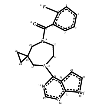 O=C(c1ccccc1F)N1CCN(c2ncnc3[nH]ccc23)CC2(CC2)C1